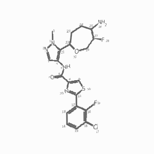 Cn1ncc(NC(=O)c2csc(-c3cccc(Cl)c3F)n2)c1C1CCC(N)[C@@H](F)CO1